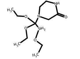 CCO[SiH2]C(OCC)(OCC)N1CCNC(=O)C1